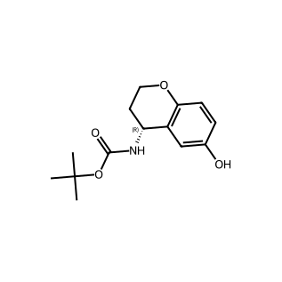 CC(C)(C)OC(=O)N[C@@H]1CCOc2ccc(O)cc21